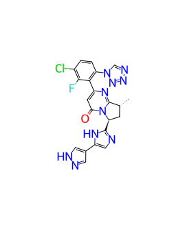 C[C@@H]1C[C@@H](c2ncc(-c3cn[nH]c3)[nH]2)n2c1nc(-c1c(-n3cnnn3)ccc(Cl)c1F)cc2=O